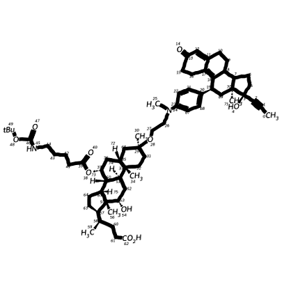 CC#C[C@@]1(O)CCC2C3CCC4=CC(=O)CCC4=C3[C@H](c3ccc(N(C)CCO[C@@]4(C)CC[C@@]5(C)[C@H](C[C@@H](OC(=O)CCCCNC(=O)OC(C)(C)C)[C@@H]6[C@@H]5C[C@H](O)[C@]5(C)[C@@H]([C@H](C)CCC(=O)O)CC[C@@H]65)C4)cc3)C[C@@]21C